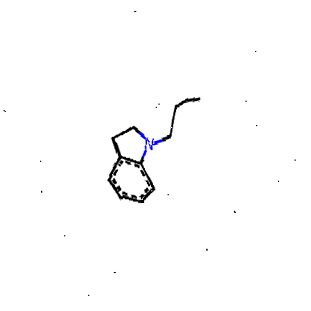 CCCN1CCc2ccccc21